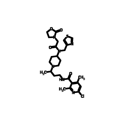 Cc1cc(Cl)nc(C)c1C(=O)NCCC(C)N1CCC(N(Cc2cscn2)C(=O)CN2CCOC2=O)CC1